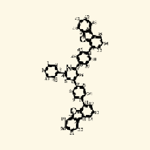 c1ccc(-c2cc(-c3ccc(-c4cccc5c4oc4ccccc45)cc3)cc(-c3ccc(-c4cccc5c4oc4ccccc45)cc3)n2)cc1